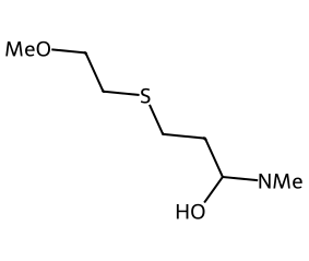 CNC(O)CCSCCOC